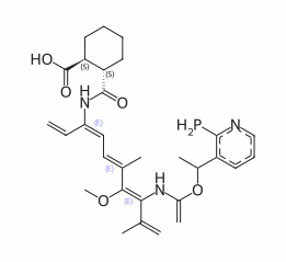 C=C\C(=C/C=C(C)/C(OC)=C(\NC(=C)OC(C)c1cccnc1P)C(=C)C)NC(=O)[C@H]1CCCC[C@@H]1C(=O)O